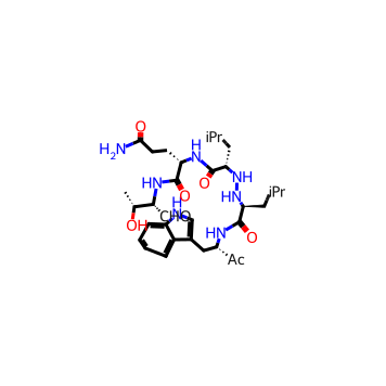 CC(=O)[C@H](Cc1c[nH]c2ccccc12)NC(=O)[C@H](CC(C)C)NN[C@@H](CC(C)C)C(=O)N[C@@H](CCC(N)=O)C(=O)N[C@H](C=O)[C@@H](C)O